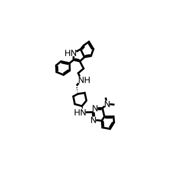 CN(C)c1nc(N[C@H]2CC[C@@H](CNCCc3c(-c4ccccc4)[nH]c4ccccc34)CC2)nc2ccccc12